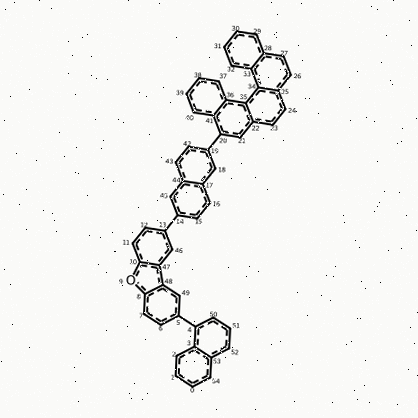 c1ccc2c(-c3ccc4oc5ccc(-c6ccc7cc(-c8cc9ccc%10ccc%11ccccc%11c%10c9c9ccccc89)ccc7c6)cc5c4c3)cccc2c1